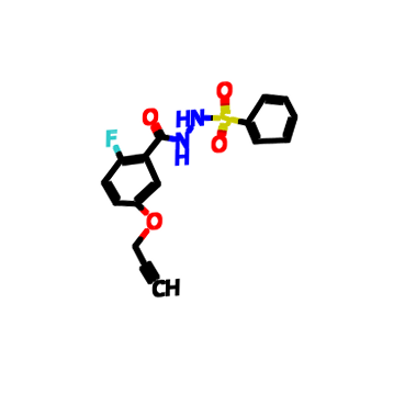 C#CCOc1ccc(F)c(C(=O)NNS(=O)(=O)c2ccccc2)c1